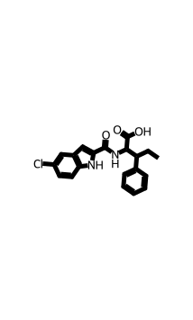 CCC(c1ccccc1)C(NC(=O)c1cc2cc(Cl)ccc2[nH]1)C(=O)O